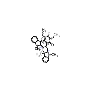 CCN1C(=O)C(=C(/C=C2/N(C)c3ccccc3C2(C)C)/C=C2/N(C)c3ccccc3C2(C)C)C(=O)N(CC)C1=O